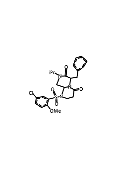 COc1ccc(Cl)cc1S(=O)(=O)N1CCC(=O)N2C(Cc3ccccc3)C(=O)N(C(C)C)CC21